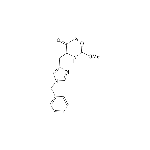 COC(=O)NC(Cc1cn(Cc2ccccc2)cn1)C(=O)C(C)C